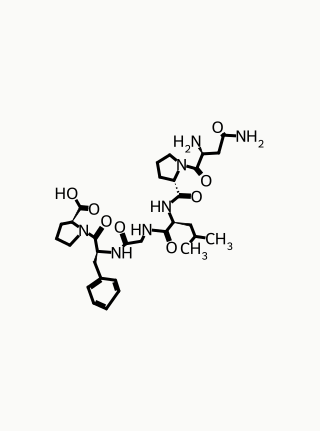 CC(C)C[C@H](NC(=O)[C@@H]1CCCN1C(=O)[C@@H](N)CC(N)=O)C(=O)NCC(=O)N[C@@H](Cc1ccccc1)C(=O)N1CCC[C@H]1C(=O)O